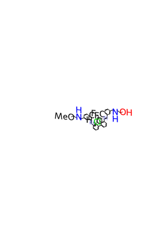 COCCNCc1ccc(C(F)(F)F)c(/C=C/c2cccc(-c3cccc(/C=C/c4cc(CNCCO)ccc4C(F)(F)F)c3C)c2Cl)c1